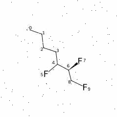 [CH2]CCCC(F)[C@@H](F)CF